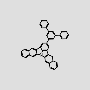 C1=CC2=Cc3c(c4cc(-c5cc(-c6ccccc6)cc(-c6ccccc6)c5)cc5c6cc7ccccc7cc6n3c45)CC2C=C1